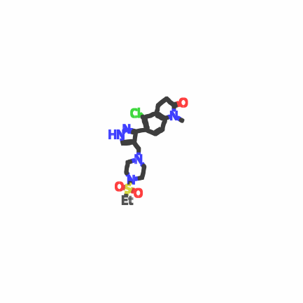 CCS(=O)(=O)N1CCN(Cc2c[nH]nc2-c2ccc3c(c2Cl)CCC(=O)N3C)CC1